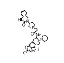 O=C(NC(Cc1cc(Cl)c2[nH]c(=O)oc2c1)C(=O)N1CCCCC1)ON1CCC(N2Cc3ccccc3NC2=O)CC1